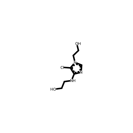 OCCNc1ncn(CCO)c1Cl